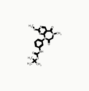 CSc1ncc2c(n1)N(c1cccc(NC(=O)OC(C)(C)C)c1)C(=O)CN(C)C2=O